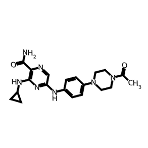 CC(=O)N1CCN(c2ccc(Nc3cnc(C(N)=O)c(NC4CC4)n3)cc2)CC1